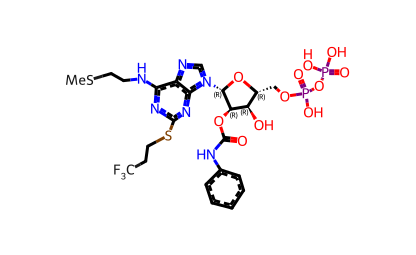 CSCCNc1nc(SCCC(F)(F)F)nc2c1ncn2[C@@H]1O[C@H](COP(=O)(O)OP(=O)(O)O)[C@@H](O)[C@H]1OC(=O)Nc1ccccc1